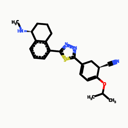 CN[C@@H]1CCCc2c(-c3nnc(C4=CC=C(OC(C)C)[C@@H](C#N)C4)s3)cccc21